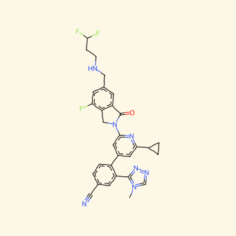 Cn1cnnc1-c1cc(C#N)ccc1-c1cc(C2CC2)nc(N2Cc3c(F)cc(CNCCC(F)F)cc3C2=O)c1